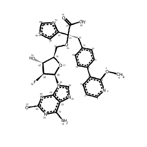 COc1ncccc1-c1ccc(C[C@@](OC[C@H]2O[C@@H](n3cnc4c(N)nc(Cl)nc43)[C@@H](F)[C@@H]2O)(C(=O)O)c2cscn2)cc1